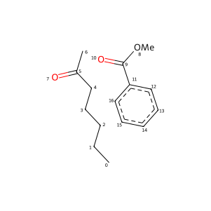 CCCCCC(C)=O.COC(=O)c1ccccc1